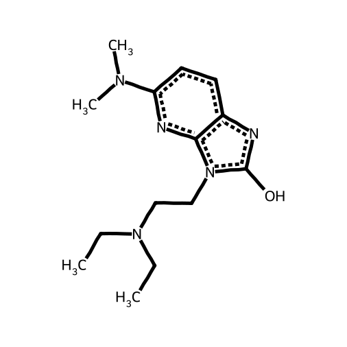 CCN(CC)CCn1c(O)nc2ccc(N(C)C)nc21